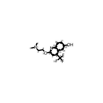 CN(C)CCOc1cc(C(F)(F)F)c2cc(O)ccc2n1